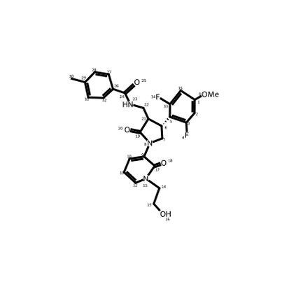 COc1cc(F)c([C@@H]2CN(c3cccn(CCO)c3=O)C(=O)C2CNC(=O)c2ccc(C)cc2)c(F)c1